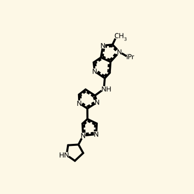 Cc1nc2cnc(Nc3ccnc(-c4cnn(C5CCNC5)c4)n3)cc2n1C(C)C